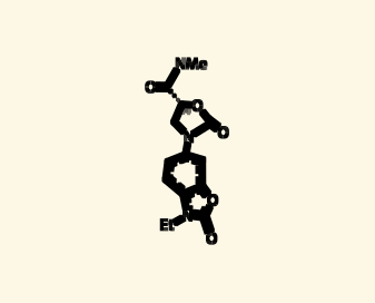 CCn1c(=O)oc2cc(N3C[C@H](C(=O)NC)OC3=O)ccc21